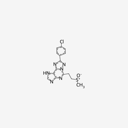 C[S+]([O-])CCc1nc2nc[nH]c2c2nc(-c3ccc(Cl)cc3)nn12